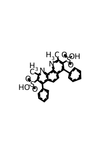 Cc1nc2c(ccc3c(-c4ccccc4)c(S(=O)(=O)O)c(C)nc32)c(-c2ccccc2)c1S(=O)(=O)O